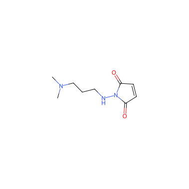 CN(C)CCCNN1C(=O)C=CC1=O